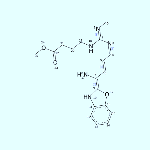 C\N=C(/N=C\C=C\C(N)=C1\Nc2ccccc2O1)NCCCC(=O)OC